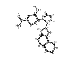 COc1cc(C(=O)O)ccc1-n1ncn[n+]1-c1nc2c(ccc3ccccc32)s1